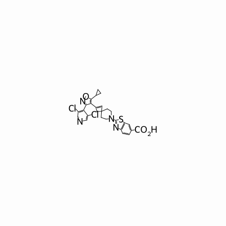 O=C(O)c1ccc2nc(N3CCC4(C=C(c5c(-c6c(Cl)cncc6Cl)noc5C5CC5)C4)CC3)sc2c1